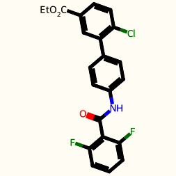 CCOC(=O)c1ccc(Cl)c(-c2ccc(NC(=O)c3c(F)cccc3F)cc2)c1